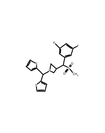 CS(=O)(=O)C(c1cc(F)cc(F)c1)C1CN(C(c2cccs2)c2cccs2)C1